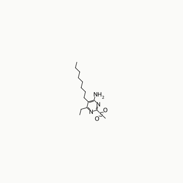 CCCCCCCCc1c(N)nc(S(C)(=O)=O)nc1CC